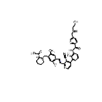 Cc1cc(/C=C/c2nccc(-c3cccc(NC(=O)c4ccc(CNCCO)cn4)c3C)c2C#N)c(Cl)cc1CN1CCCC[C@H]1C(=O)O